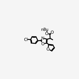 CCCCOC(=O)C(C)c1nc(-c2ccc(Cl)cc2)oc1-c1ccco1